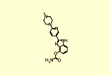 CN1CCN(c2ccc(-c3nc4c(OC(N)=O)cccc4[nH]3)cn2)CC1